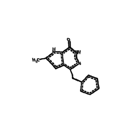 Cc1cc2c(Cc3ccccc3)n[nH]c(=O)c2[nH]1